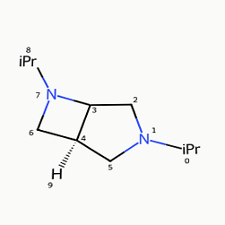 CC(C)N1CC2[C@@H](C1)CN2C(C)C